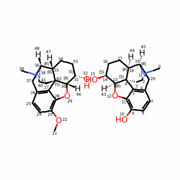 CN1CC[C@]23c4c5ccc(O)c4O[C@H]2[C@@H](O)CC[C@H]3[C@H]1C5.COc1ccc2c3c1O[C@H]1[C@@H](O)CC[C@H]4[C@@H](C2)N(C)CC[C@@]341